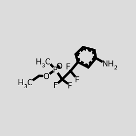 CCOP(C)(=O)C(F)(F)C(F)(F)c1cccc(N)c1